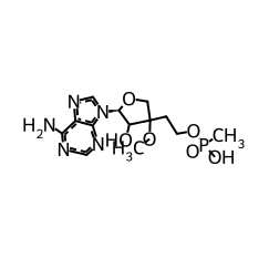 COC1(CCOP(C)(=O)O)CO[C@H](n2cnc3c(N)ncnc32)C1O